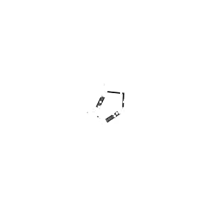 B1=BCB=B1